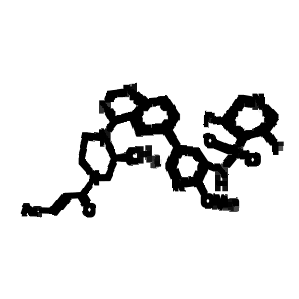 COc1ncc(-c2ccc3ncnc(N4CCN(C(=O)/C=C/C(C)=O)C[C@@H]4C)c3c2)cc1NS(=O)(=O)c1c(F)cncc1F